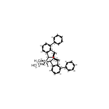 CC(C)C1=Cc2c(-c3ccccc3)cccc2[CH]1[Zr]([CH3])([CH3])(=[GeH2])[CH]1C(C(C)C)=Cc2c(-c3ccccc3)cccc21.Cl.Cl